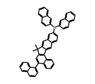 CC1(C)c2cc3cc(N(c4ccc5ccccc5c4)c4ccc5ccccc5c4)ccc3cc2-c2c1cc(-c1cccc3ccccc13)c1ccccc21